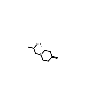 C=C1CCN(CC(C)N)CC1